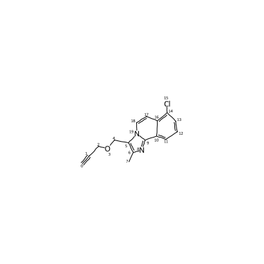 C#CCOCc1c(C)nc2c3cccc(Cl)c3ccn12